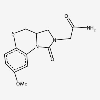 COc1ccc2c(c1)N1C(=O)N(CC(N)=O)CC1CS2